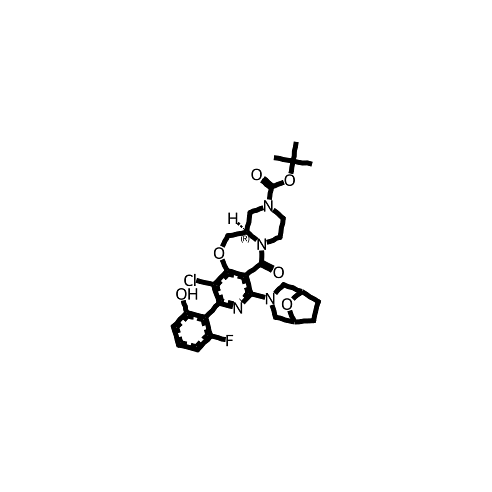 CC(C)(C)OC(=O)N1CCN2C(=O)c3c(N4CC5CCC(C4)O5)nc(-c4c(O)cccc4F)c(Cl)c3OC[C@H]2C1